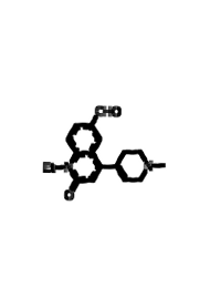 CCn1c(=O)cc(C2=CCN(C)CC2)c2cc(C=O)ccc21